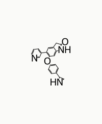 O=C1Cc2cc(-c3cccnc3)c(Oc3ccc(C4CN4)cc3)cc2N1